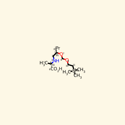 CC(C)[C@H](CN[C@@H](C)C(=O)O)OCOCC[Si](C)(C)C